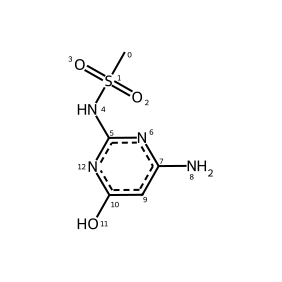 CS(=O)(=O)Nc1nc(N)cc(O)n1